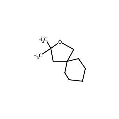 CC1(C)CC2(CC[CH]CC2)CO1